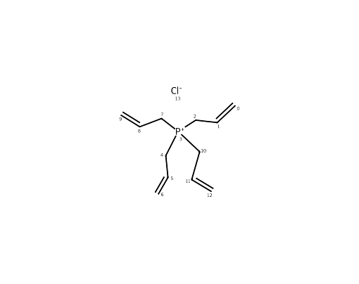 C=CC[P+](CC=C)(CC=C)CC=C.[Cl-]